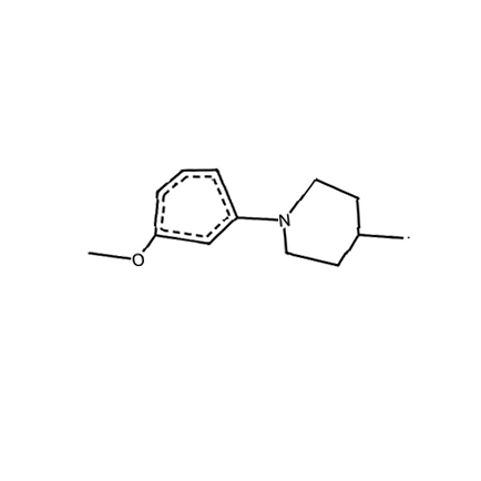 [CH2]C1CCN(c2cccc(OC)c2)CC1